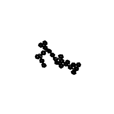 c1ccc(-c2ccc(-c3nc(-c4ccc(-n5c6cc(-c7ccc(-c8cccc(-n9c%10ccccc%10c%10cc(-c%11ccc(-c%12ccc(-n%13c%14ccccc%14c%14ccc%15c%16ccccc%16c%16ccccc%16c%15c%14%13)cn%12)c%12ccccc%11%12)c%11c%12ccccc%12c%12ccccc%12c%11c%109)n8)cc7)ccc6c6cc7c8ccccc8c8ccccc8c7cc65)cc4)nc4ccccc34)cc2)cc1